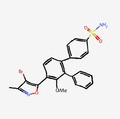 COc1c(-c2onc(C)c2Br)ccc(-c2ccc(S(N)(=O)=O)cc2)c1-c1ccccc1